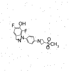 CS(=O)(=O)C1CN(c2ccc(-n3ncc4cc(F)c(O)c(F)c43)cc2)C1